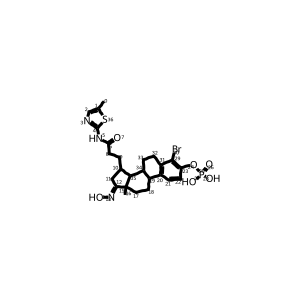 Cc1cnc(NC(=O)CCC2CC(=NO)C3(C)CCC4c5ccc(OP(=O)(O)O)c(Br)c5CCC4C23)s1